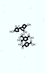 CC(CC(=O)O)(c1ccc(O)cc1)c1ccc(O)cc1.O=C(O)c1ccc(C(=O)O)c(C(=O)O)c1.O=C(O)c1ccc(C(=O)O)cc1